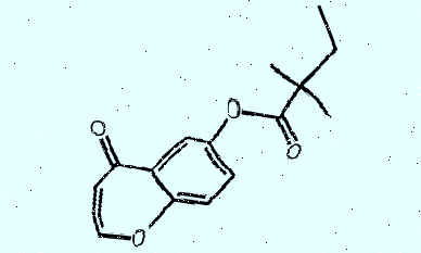 CCC(C)(C)C(=O)Oc1ccc2occc(=O)c2c1